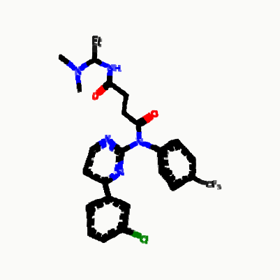 CCC(NC(=O)CCC(=O)N(c1ccc(C(F)(F)F)cc1)c1nccc(-c2cccc(Cl)c2)n1)N(C)C